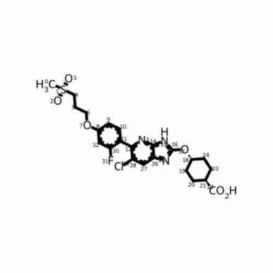 CS(=O)(=O)CCCOc1ccc(-c2nc3[nH]c(O[C@H]4CC[C@H](C(=O)O)CC4)nc3cc2Cl)c(F)c1